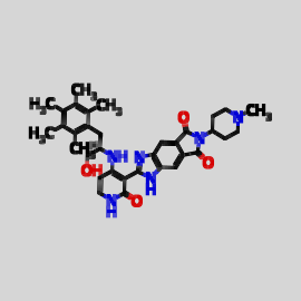 Cc1c(C)c(C)c(C[C@H](CO)Nc2cc[nH]c(=O)c2-c2nc3cc4c(cc3[nH]2)C(=O)N(C2CCN(C)CC2)C4=O)c(C)c1C